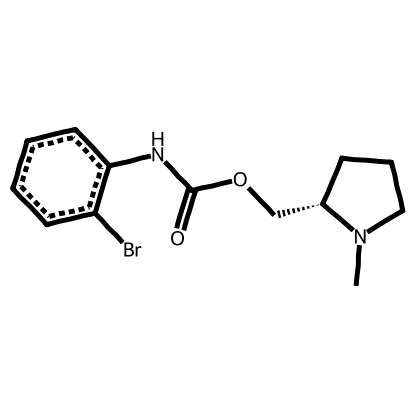 CN1CCC[C@H]1COC(=O)Nc1ccccc1Br